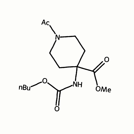 CCCCOC(=O)NC1(C(=O)OC)CCN(C(C)=O)CC1